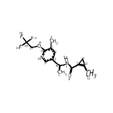 Cc1cc(C(C)NC(=O)C2CC2C)cnc1OCC(F)(F)F